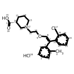 Cc1ccccc1/C(=C\OCCN1CCC[C@@H](C(=O)O)C1)c1ccccc1Cl.Cl